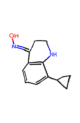 ON=C1CCNc2c1cccc2C1CC1